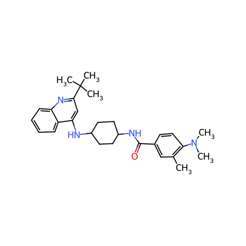 Cc1cc(C(=O)NC2CCC(Nc3cc(C(C)(C)C)nc4ccccc34)CC2)ccc1N(C)C